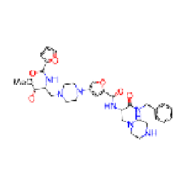 COC(=O)C(CN1CCN(c2coc(C(=O)NC(CN3CCNCC3)C(=O)NCc3ccccc3)c2)CC1)NC(=O)c1ccco1